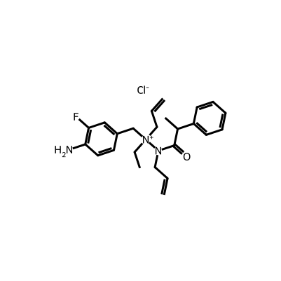 C=CCN(C(=O)C(C)c1ccccc1)[N+](CC)(CC=C)Cc1ccc(N)c(F)c1.[Cl-]